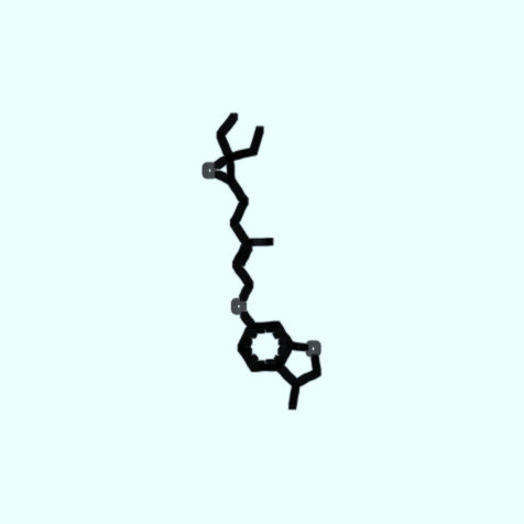 CCC1(CC)OC1CC/C(C)=C/COc1ccc2c(c1)OCC2C